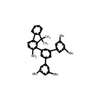 CC(C)(C)c1cc(-c2cc(-c3cc(C(C)(C)C)cc(C(C)(C)C)c3)cc(-c3c(N)ccc4c3C(C)(C)c3ccccc3-4)c2)cc(C(C)(C)C)c1